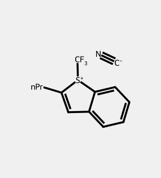 CCCc1cc2ccccc2[s+]1C(F)(F)F.[C-]#N